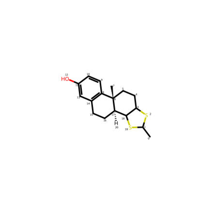 CC1SC2CC[C@@]3(C)c4ccc(O)cc4CC[C@@H]3C2S1